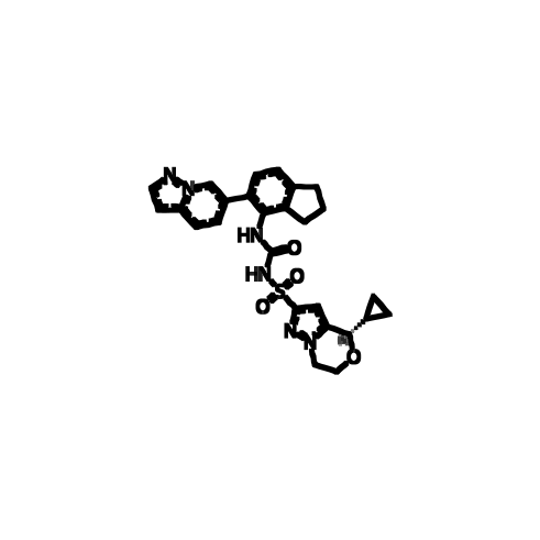 O=C(Nc1c(-c2ccc3ccnn3c2)ccc2c1CCC2)NS(=O)(=O)c1cc2n(n1)CCO[C@H]2C1CC1